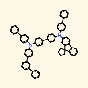 c1ccc(-c2ccc(N(c3ccc(-c4ccc(N(c5ccc(-c6ccccc6)cc5)c5ccc6c(c5)C5(CCCC5)c5ccccc5-6)cc4)cc3)c3ccc(-c4cccc(-c5ccccc5)c4)cc3)cc2)cc1